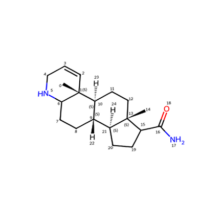 C[C@]12C=CCNC1CC[C@@H]1[C@@H]2CC[C@]2(C)C(C(N)=O)CC[C@@H]12